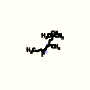 CCC/C(F)=C\C=C(/C)CCC(C)(C)C